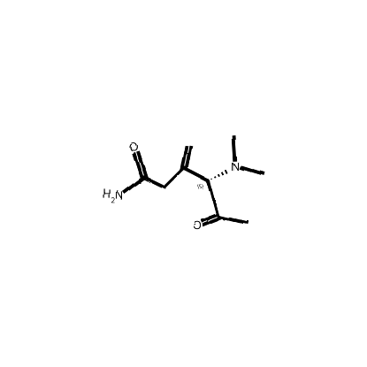 C=C(CC(N)=O)[C@@H](C(C)=O)N(C)C